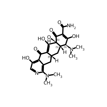 CN(C)c1ncc(O)c2c1C[C@H]1C[C@H]3[C@H](N(C)C)C(O)=C(C(N)=O)C(=O)[C@@]3(O)C(O)=C1C2=O